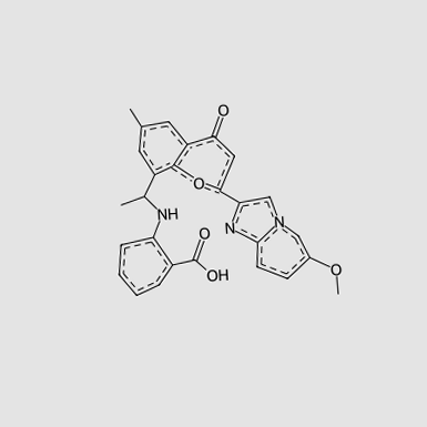 COc1ccc2nc(-c3cc(=O)c4cc(C)cc(C(C)Nc5ccccc5C(=O)O)c4o3)cn2c1